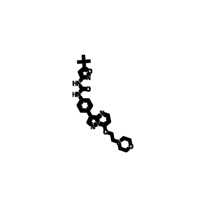 CC(C)(C)c1cc(NC(=O)Nc2ccc(-c3cnn4c(OCCN5CCOCC5)ccnc34)cc2)no1